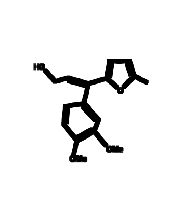 COc1ccc(/C(=C\CO)c2ccc(C)o2)cc1OC